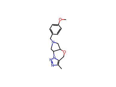 COc1ccc(CN2CC3OCc4c(C)nnn4C3C2)cc1